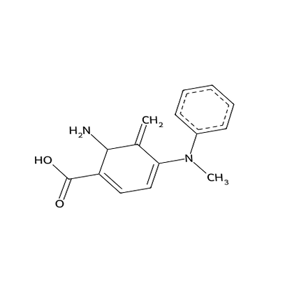 C=C1C(N(C)c2ccccc2)=CC=C(C(=O)O)C1N